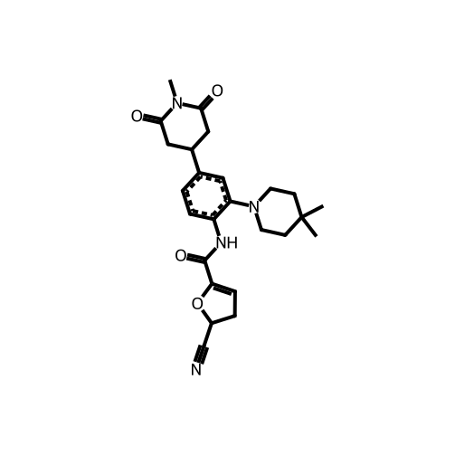 CN1C(=O)CC(c2ccc(NC(=O)C3=CCC(C#N)O3)c(N3CCC(C)(C)CC3)c2)CC1=O